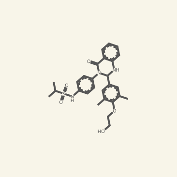 Cc1cc(C2Nc3ccccc3C(=O)N2c2ccc(NS(=O)(=O)C(C)C)cc2)cc(C)c1OCCO